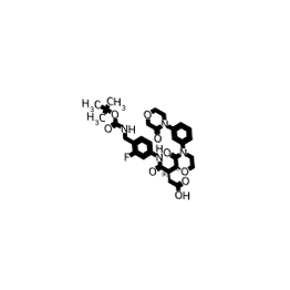 CC(C)(C)OC(=O)NCc1ccc(NC(=O)[C@H](CC(=O)O)[C@H]2OCCN(c3cccc(N4CCOCC4=O)c3)C2=O)cc1F